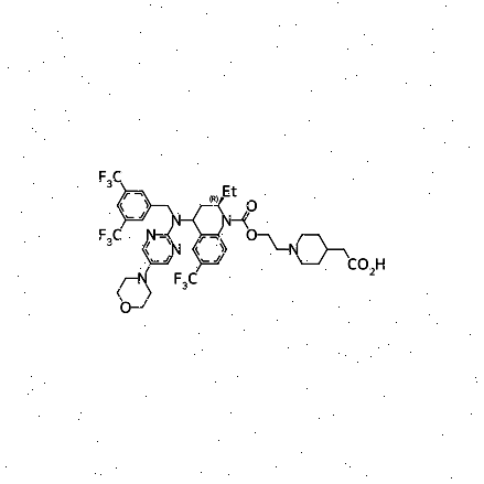 CC[C@@H]1CC(N(Cc2cc(C(F)(F)F)cc(C(F)(F)F)c2)c2ncc(N3CCOCC3)cn2)c2cc(C(F)(F)F)ccc2N1C(=O)OCCN1CCC(CC(=O)O)CC1